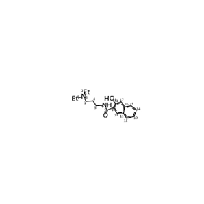 CCN(CC)CCCNC(=O)c1cc2ccccc2cc1O